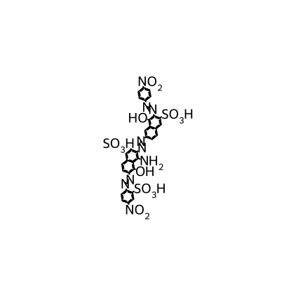 Nc1c(N=Nc2ccc3cc(S(=O)(=O)O)c(N=Nc4ccc([N+](=O)[O-])cc4)c(O)c3c2)c(S(=O)(=O)O)cc2ccc(N=Nc3ccc([N+](=O)[O-])cc3S(=O)(=O)O)c(O)c12